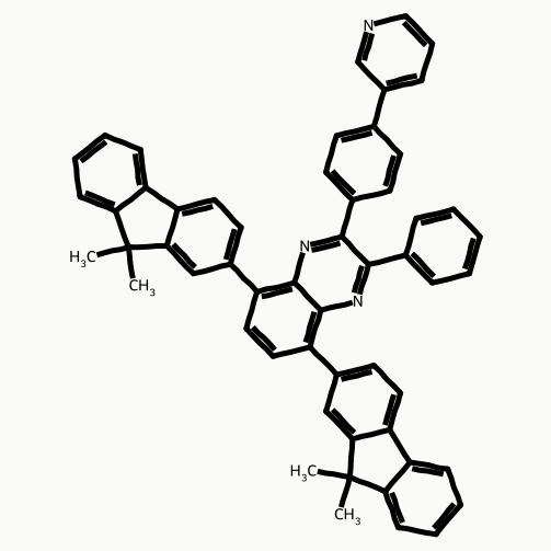 CC1(C)c2ccccc2-c2ccc(-c3ccc(-c4ccc5c(c4)C(C)(C)c4ccccc4-5)c4nc(-c5ccc(-c6cccnc6)cc5)c(-c5ccccc5)nc34)cc21